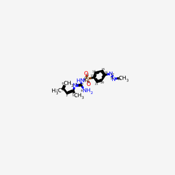 C=C(C)/C=C(C)\N=C(/N)NS(=O)(=O)c1ccc(N=NC)cc1